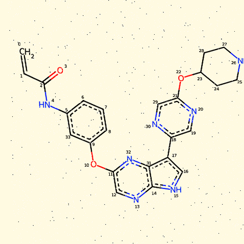 C=CC(=O)Nc1cccc(Oc2cnc3[nH]cc(-c4cnc(OC5CCNCC5)cn4)c3n2)c1